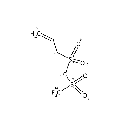 C=CCS(=O)(=O)OS(=O)(=O)C(F)(F)F